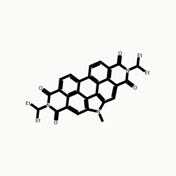 CCC(CC)n1c(=O)c2ccc3c4ccc5c(=O)n(C(CC)CC)c(=O)c6cc7c(c4c56)c4c3c2c(cc4n7C)c1=O